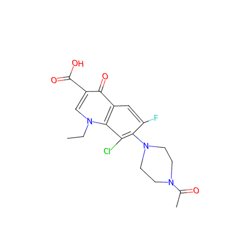 CCn1cc(C(=O)O)c(=O)c2cc(F)c(N3CCN(C(C)=O)CC3)c(Cl)c21